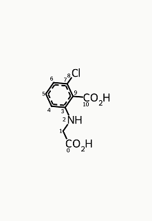 O=C(O)CNc1cccc(Cl)c1C(=O)O